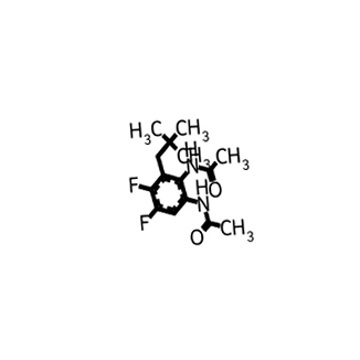 CC(=O)Nc1cc(F)c(F)c(CC(C)(C)C)c1NC(C)=O